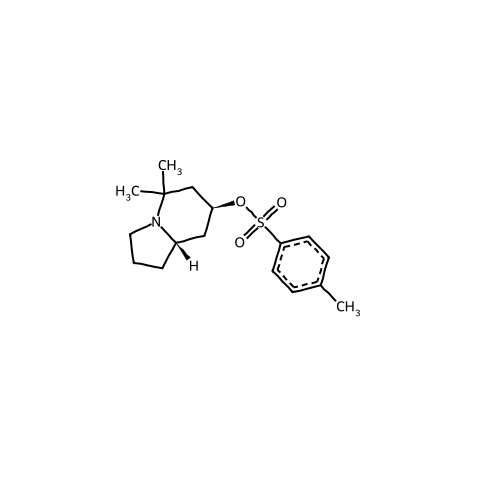 Cc1ccc(S(=O)(=O)O[C@H]2C[C@@H]3CCCN3C(C)(C)C2)cc1